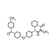 Cc1ccc(C(=O)c2ccc(Oc3ccc(C4NN(C)C(=O)c5ccccc54)cc3)cc2)cc1